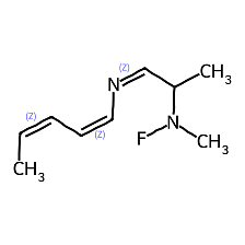 C\C=C/C=C\N=C/C(C)N(C)F